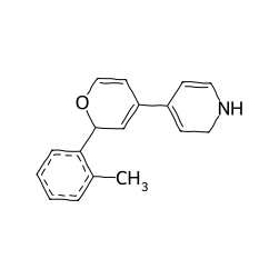 Cc1ccccc1C1C=C(C2=CCNC=C2)C=CO1